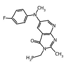 Cc1nc2ncc(N(C)c3ccc(F)cc3)cc2c(=O)n1CP